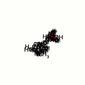 CC(C)[C@@H](C(=O)N1C[C@H](O)C[C@H]1C1=NO[C@@](C)(c2ccc(-c3ccccc3F)cc2)N1)c1onc(O[C@H]2CC[C@@H](N3CCC(c4cnc(N5C6CCC5CN(c5c[nH]c7nnc(-c8ccccc8O)cc57)C6)nc4)CC3)CC2)c1Cl